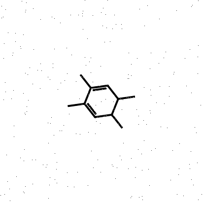 C[C]1C=C(C)C(C)=CC1C